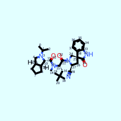 CC(C)N1C[C@@H]2CCC[C@@H]2[C@H]1C(=O)N(C)[C@@H](CC(C)(C)C)C(=O)N1C[C@]2(C[C@H]1C#N)C(=O)Nc1ccccc12